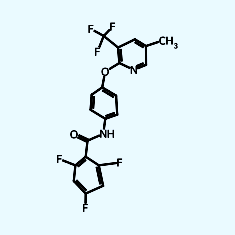 Cc1cnc(Oc2ccc(NC(=O)c3c(F)cc(F)cc3F)cc2)c(C(F)(F)F)c1